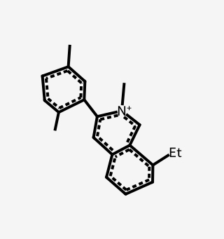 CCc1cccc2cc(-c3cc(C)ccc3C)[n+](C)cc12